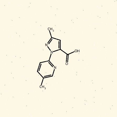 Cc1ccc(-n2nc(C)cc2C(=O)O)nc1